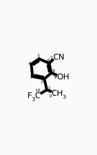 CC(c1cccc(C#N)c1O)C(F)(F)F